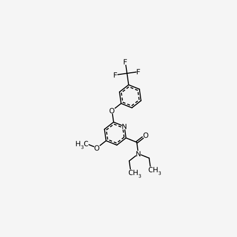 CCN(CC)C(=O)c1cc(OC)cc(Oc2cccc(C(F)(F)F)c2)n1